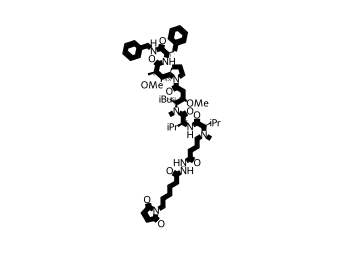 CC[C@H](C)[C@@H]([C@@H](CC(=O)N1CCC[C@H]1[C@H](OC)[C@@H](C)C(=O)N[C@@H](Cc1ccccc1)C(=O)NCc1ccccc1)OC)N(C)C(=O)[C@@H](NC(=O)[C@H](C(C)C)N(C)CCCC(=O)NNC(=O)CCCCCN1C(=O)C=CC1=O)C(C)C